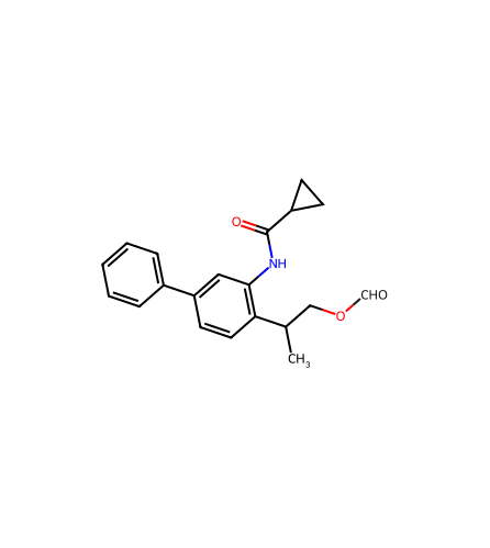 CC(COC=O)c1ccc(-c2ccccc2)cc1NC(=O)C1CC1